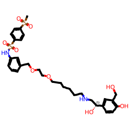 CS(=O)(=O)c1ccc(S(=O)(=O)Nc2cccc(COCCOCCCCCCNC[C@@H](O)c3ccc(O)c(CO)c3)c2)cc1